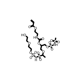 C=CC(=O)OCCNC(=O)OC(COC(C)S(=O)(=O)NS(=O)(=O)OCCOCCO)COS(=O)(=O)NS(C)(=O)=O